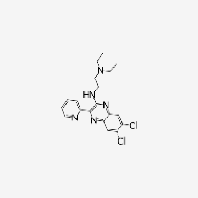 CCN(CC)CCNc1nc2cc(Cl)c(Cl)cc2nc1-c1ccccn1